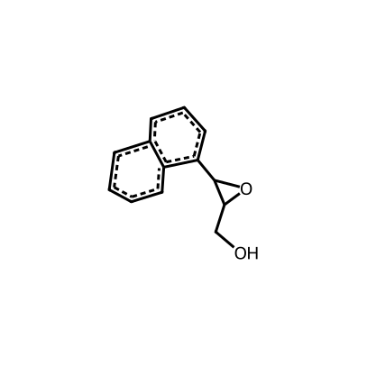 OCC1OC1c1cccc2ccccc12